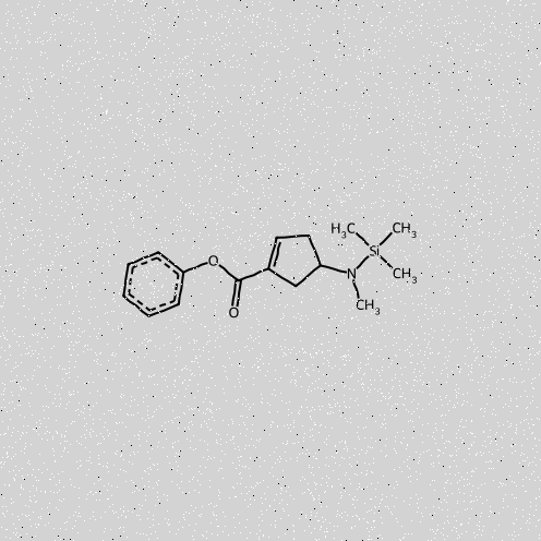 CN(C1CC=C(C(=O)Oc2ccccc2)C1)[Si](C)(C)C